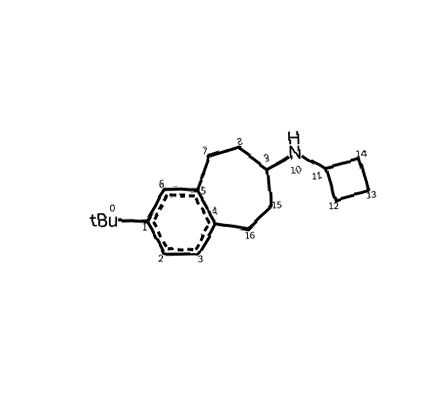 CC(C)(C)c1ccc2c(c1)CCC(NC1CCC1)CC2